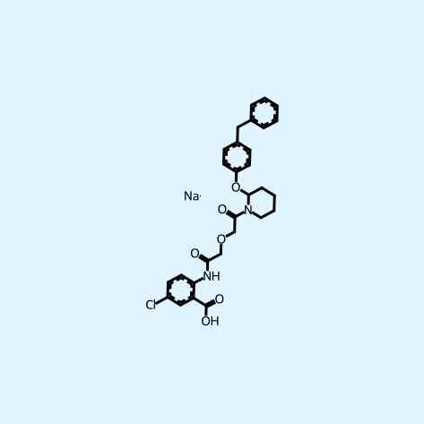 O=C(COCC(=O)N1CCCCC1Oc1ccc(Cc2ccccc2)cc1)Nc1ccc(Cl)cc1C(=O)O.[Na]